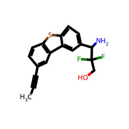 CC#Cc1ccc2sc3ccc(C(N)C(F)(F)CO)cc3c2c1